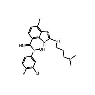 CN(C)CCCNc1nc2c(F)ccc(C(=N)N(O)c3ccc(F)c(Cl)c3)c2[nH]1